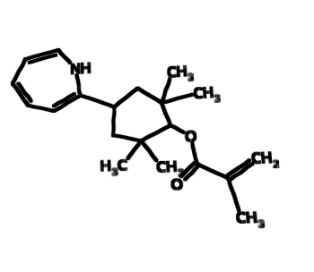 C=C(C)C(=O)OC1C(C)(C)CC(C2=CC=CC=CN2)CC1(C)C